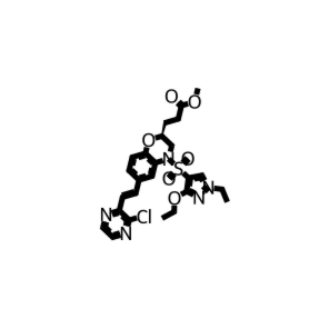 CCOc1nn(CC)cc1S(=O)(=O)N1C[C@H](CCC(=O)OC)Oc2ccc(/C=C/c3nccnc3Cl)cc21